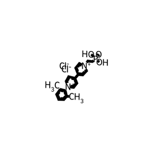 Cc1cccc(C)c1-[n+]1ccc(-c2cc[n+](CCP(=O)(O)O)cc2)cc1.[Cl-].[Cl-]